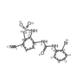 N#Cc1ccc(NC(=O)Nc2ccccc2Br)c2c1CS(=O)(=O)N2